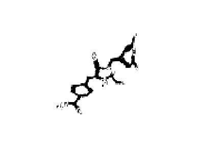 NC(=O)c1ccc(C[C@H](NC(=O)CCl)C(=O)OCc2cc(Cl)nc(Cl)c2)cc1